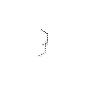 CCCCCCCC/C=C\CCCCCCCCC(CCC)OC(CCC)CCCCCCCC/C=C\CCCCCCCC